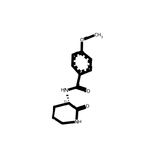 COc1ccc(C(=O)N[C@H]2CCCNC2=O)cc1